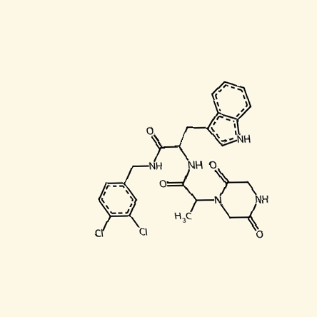 CC(C(=O)NC(Cc1c[nH]c2ccccc12)C(=O)NCc1ccc(Cl)c(Cl)c1)N1CC(=O)NCC1=O